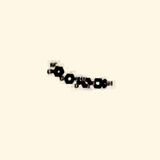 N#Cc1ccc(O[C@H]2CC[C@H](NC(=O)c3cnc(N4CCC5(CC4)CNC5)cn3)CC2)cc1Cl